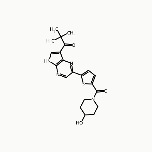 CC(C)(C)C(=O)c1c[nH]c2ncc(-c3ccc(C(=O)N4CCC(O)CC4)s3)nc12